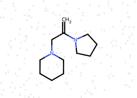 C=C(CN1CCCCC1)N1CCCC1